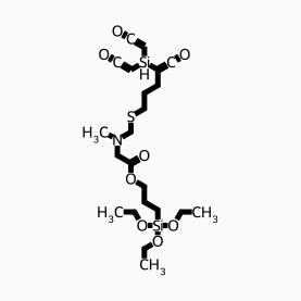 CCO[Si](CCCOC(=O)CN(C)CSCCCC(=C=O)[SiH](C=C=O)C=C=O)(OCC)OCC